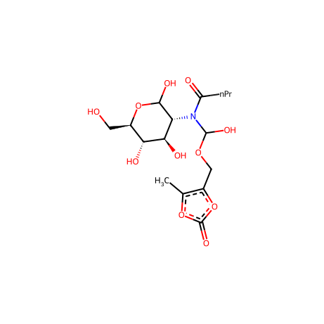 CCCC(=O)N(C(O)OCc1oc(=O)oc1C)[C@H]1C(O)O[C@H](CO)[C@@H](O)[C@@H]1O